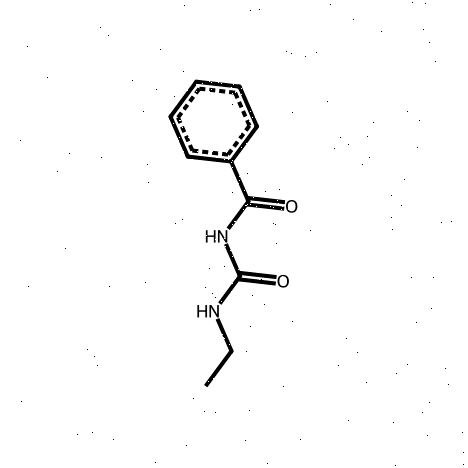 CCNC(=O)NC(=O)c1ccccc1